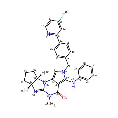 CN1C(=O)c2c(cn(Cc3ccc(-c4cc(F)ccn4)cc3)c2Nc2ccccc2)N2C1=N[C@@H]1CCC[C@@H]12